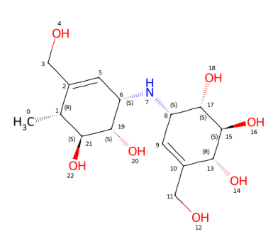 C[C@@H]1C(CO)=C[C@H](N[C@H]2C=C(CO)[C@@H](O)[C@H](O)[C@H]2O)[C@H](O)[C@H]1O